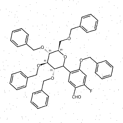 O=Cc1cc(C2O[C@H](COCc3ccccc3)[C@@H](OCc3ccccc3)[C@H](OCc3ccccc3)[C@H]2OCc2ccccc2)c(OCc2ccccc2)cc1F